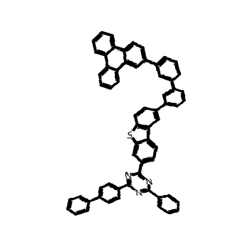 c1ccc(-c2ccc(-c3nc(-c4ccccc4)nc(-c4ccc5c(c4)sc4ccc(-c6cccc(-c7cccc(-c8ccc9c%10ccccc%10c%10ccccc%10c9c8)c7)c6)cc45)n3)cc2)cc1